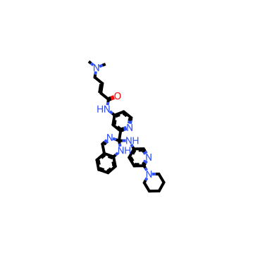 CN(C)C/C=C/C(=O)Nc1ccnc(C2(Nc3ccc(N4CCCCC4)nc3)N=Cc3ccccc3N2)c1